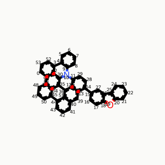 c1ccc(-c2ccccc2N(c2ccc(-c3ccc4oc5ccccc5c4c3)cc2)c2ccccc2-c2cccc3cccc(-c4ccccc4)c23)cc1